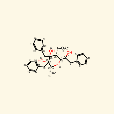 CC(=O)OC[C@@H]1[C@@H](C(O)Cc2ccccc2)O[C@H](OC(C)=O)[C@@](O)(Cc2ccccc2)[C@]1(O)Cc1ccccc1